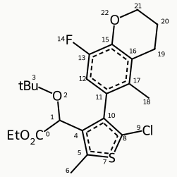 CCOC(=O)C(OC(C)(C)C)c1c(C)sc(Cl)c1-c1cc(F)c2c(c1C)CCCO2